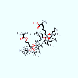 C=C(C)C(=O)OCCC[Si](O[Si](C)(C)C)(O[Si](C)(C)C)O[Si](C)(C)C.CC[Si](CC)(CC)O[Si](CCCC=C(C)C(=O)O)(O[Si](CC)(CC)CC)O[Si](CC)(CC)CC